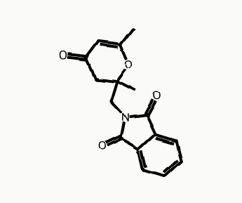 CC1=CC(=O)CC(C)(CN2C(=O)c3ccccc3C2=O)O1